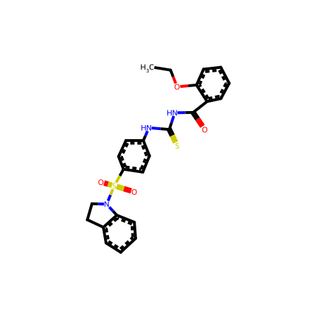 CCOc1ccccc1C(=O)NC(=S)Nc1ccc(S(=O)(=O)N2CCc3ccccc32)cc1